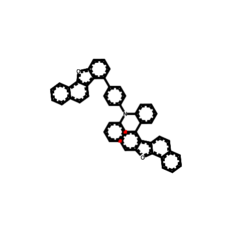 c1ccc(N(c2ccc(-c3cccc4oc5c6ccccc6ccc5c34)cc2)c2ccccc2-c2cccc3oc4c5ccccc5ccc4c23)cc1